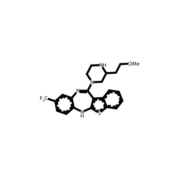 COCCC1CN(C2=Nc3cc(C(F)(F)F)ccc3Nc3sc4ccccc4c32)CCN1